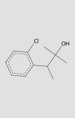 CC(c1ccccc1Cl)C(C)(C)O